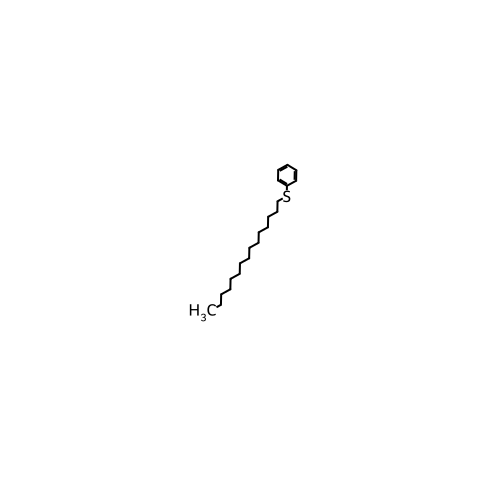 CCCCCCCCCCCCCCCSc1ccccc1